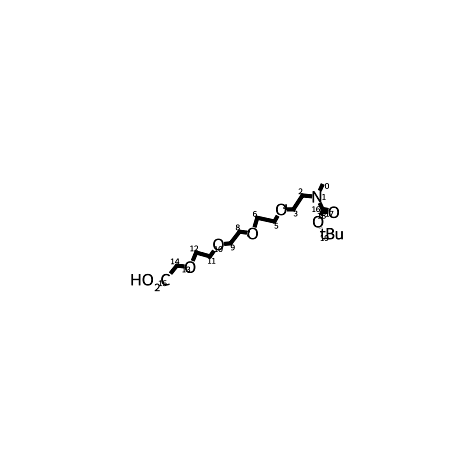 CN(CCOCCOCCOCCOCC(=O)O)C(=O)OC(C)(C)C